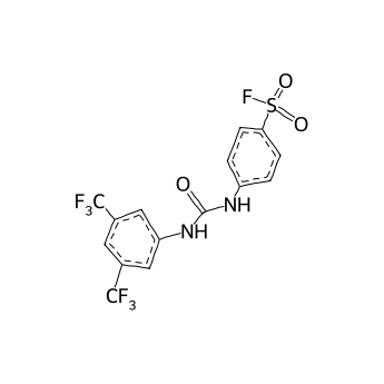 O=C(Nc1ccc(S(=O)(=O)F)cc1)Nc1cc(C(F)(F)F)cc(C(F)(F)F)c1